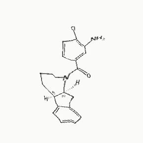 Nc1cc(C(=O)N2CCC[C@@H]3c4ccccc4C[C@@H]32)ccc1Cl